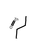 [CH2]CCC.[O]=[Zn]